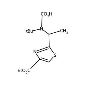 CCOC(=O)c1csc(C(C)N(C(=O)O)C(C)(C)C)n1